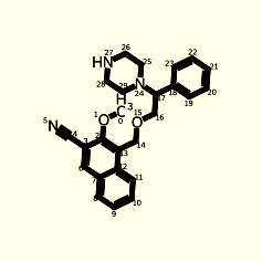 COc1c(C#N)cc2ccccc2c1COCC(c1ccccc1)N1CCNCC1